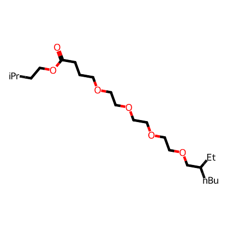 CCCCC(CC)COCCOCCOCCOCCCC(=O)OCCC(C)C